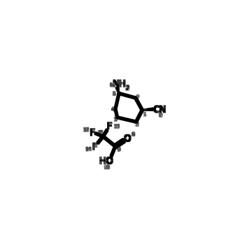 N#C[C@H]1CCC[C@@H](N)C1.O=C(O)C(F)(F)F